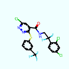 O=C(NCC(F)(F)c1ccc(Cl)cc1Cl)c1cc(Cl)nnc1Sc1cccc(C(F)(F)F)c1